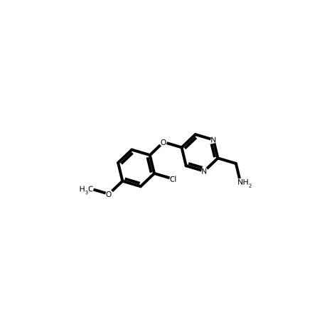 COc1ccc(Oc2cnc(CN)nc2)c(Cl)c1